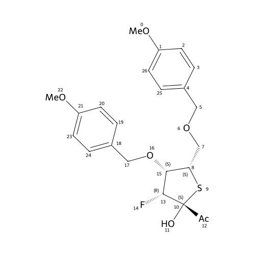 COc1ccc(COC[C@@H]2S[C@@](O)(C(C)=O)[C@H](F)[C@@H]2OCc2ccc(OC)cc2)cc1